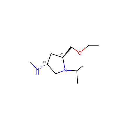 CCOC[C@@H]1C[C@@H](NC)CN1C(C)C